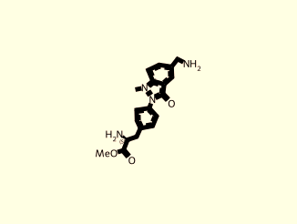 COC(=O)[C@@H](N)Cc1ccc(-n2c(=O)c3cc(CN)ccc3n2C)cc1